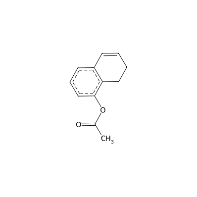 CC(=O)Oc1cccc2c1CCC=C2